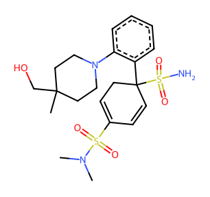 CN(C)S(=O)(=O)C1=CCC(c2ccccc2N2CCC(C)(CO)CC2)(S(N)(=O)=O)C=C1